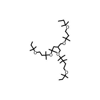 CCC(C)(C)OCCC(C)(C)OCC(COC(C)(C)C(C)(C)CCOC(C)(C)CC)CC(C)(C)OC(C)(C)CCOC(C)(C)CC